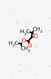 CC(C)OC(=O)C1OC1(C)C